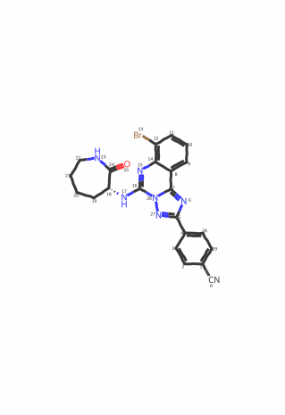 N#Cc1ccc(-c2nc3c4cccc(Br)c4nc(N[C@@H]4CCCCNC4=O)n3n2)cc1